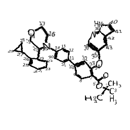 CC(C)(C)OC(=O)c1ccc(-c2ccc(N3CCOCC3c3ccccc3C3CC3)cc2)cc1Oc1cnc2[nH]ccc2c1